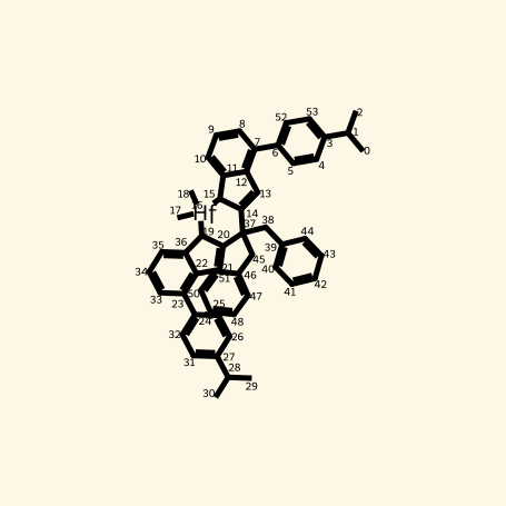 CC(C)c1ccc(-c2cccc3c2C=C2[CH]3[Hf]([CH3])([CH3])[CH]3C(=Cc4c(-c5ccc(C(C)C)cc5)cccc43)C2(Cc2ccccc2)Cc2ccccc2)cc1